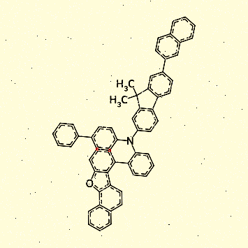 CC1(C)c2cc(-c3ccc4ccccc4c3)ccc2-c2ccc(N(c3ccc(-c4ccccc4)cc3)c3ccccc3-c3cccc4oc5c6ccccc6ccc5c34)cc21